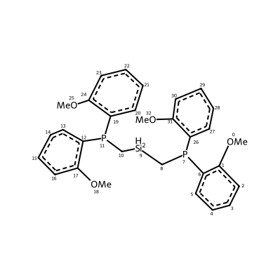 COc1ccccc1P(C[SiH2]CP(c1ccccc1OC)c1ccccc1OC)c1ccccc1OC